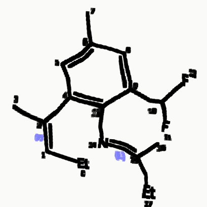 CC/C=C(/C)c1cc(C)cc(C(F)F)c1/N=C(\C)CC